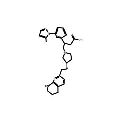 Cc1ccnn1-c1cccc(C(CC(=O)O)CN2CC[C@@H](CCc3ccc4c(n3)NCCC4)C2)c1